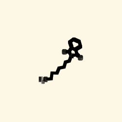 O=C1c2ccccc2C(=O)N1CCCCCCCC(F)(F)F